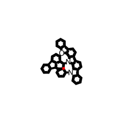 c1ccc(-n2c3ccccc3c3ccc4c5ccc6c7ccccc7oc6c5n(-c5ccc6c7c(cccc57)-c5ccccc5-6)c4c32)cc1